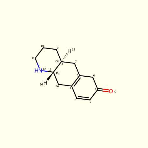 O=C1C=CC2=C(C1)C[C@@H]1CCCN[C@H]1C2